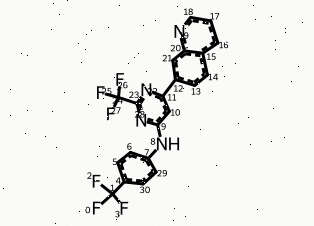 FC(F)(F)c1ccc(Nc2cc(-c3ccc4cccnc4c3)nc(C(F)(F)F)n2)cc1